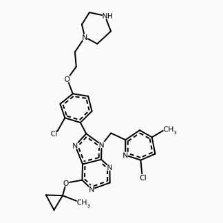 Cc1cc(Cl)nc(Cn2c(-c3ccc(OCCN4CCNCC4)cc3Cl)nc3c(OC4(C)CC4)ncnc32)c1